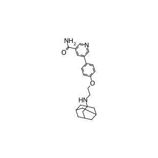 NC(=O)c1cncc(-c2ccc(OCCNC34CC5CC(CC(C5)C3)C4)cc2)c1